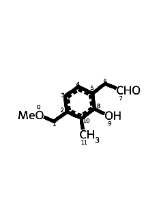 COCc1ccc(CC=O)c(O)c1C